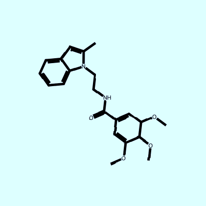 COC1=CC(C(=O)NCCn2c(C)cc3ccccc32)=CC(OC)C1OC